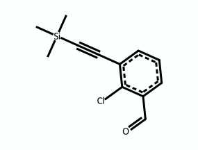 C[Si](C)(C)C#Cc1cccc(C=O)c1Cl